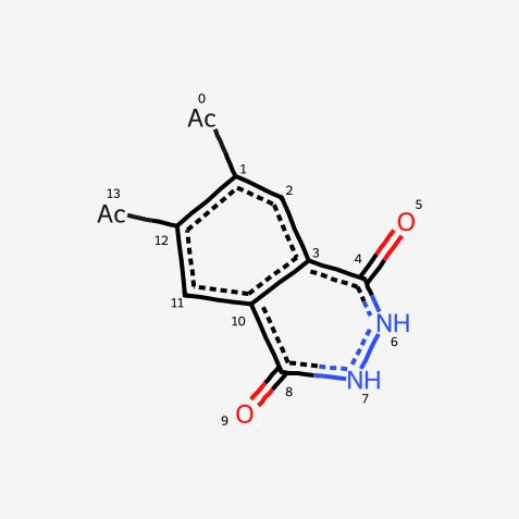 CC(=O)c1cc2c(=O)[nH][nH]c(=O)c2cc1C(C)=O